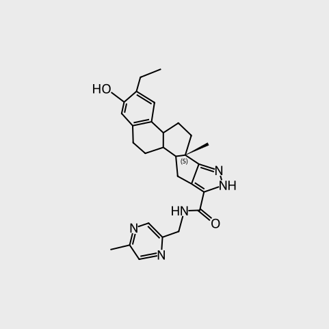 CCc1cc2c(cc1O)CCC1C2CC[C@]2(C)c3n[nH]c(C(=O)NCc4cnc(C)cn4)c3CC12